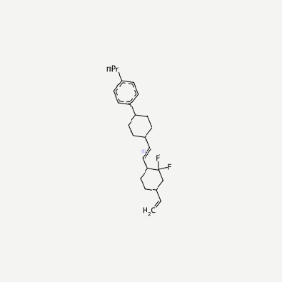 C=CC1CCC(/C=C/C2CCC(c3ccc(CCC)cc3)CC2)C(F)(F)C1